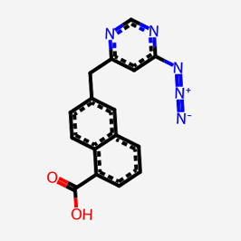 [N-]=[N+]=Nc1cc(Cc2ccc3c(C(=O)O)cccc3c2)ncn1